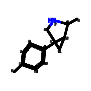 Cc1ccc(C23CNC(C)C2C3)cc1